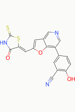 N#Cc1cc(-c2cncc3cc(/C=C4\SC(=S)NC4=O)oc23)ccc1O